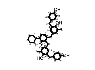 Cc1cc(Cc2ccc(C3CCCCC3)c(O)c2Cc2cc(C)c(O)c(Cc3ccc(O)cc3)c2)cc(Cc2ccc(O)cc2)c1O